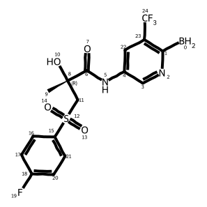 Bc1ncc(NC(=O)[C@@](C)(O)CS(=O)(=O)c2ccc(F)cc2)cc1C(F)(F)F